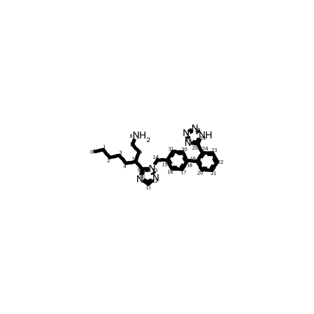 CCCCCC(CCN)c1ncnn1Cc1ccc(-c2ccccc2-c2nnn[nH]2)cc1